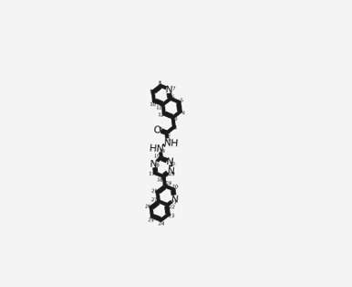 O=C(Cc1ccc2ncccc2c1)NNc1ncc(-c2cnc3ccccc3c2)nn1